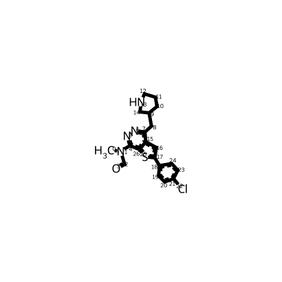 CN(C=O)c1nnc(CC2CCCNC2)c2cc(-c3ccc(Cl)cc3)sc12